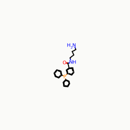 NCCCCNC(=O)c1cccc(P(c2ccccc2)c2ccccc2)c1